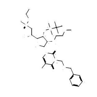 CCOP(C)(=O)C[C@H](O)[C@H]1O[C@@H](n2cc(C)c(=O)n(COCc3ccccc3)c2=O)[C@H](OCCOC)[C@@H]1O[Si](C)(C)C(C)(C)C